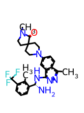 Cc1c([C@@H](N)Nc2nnc(C)c3ccc(N4CCC5(CCN(C)C5=O)CC4)cc23)cccc1C(F)(F)F